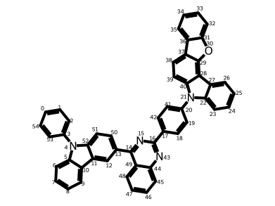 c1ccc(-n2c3ccccc3c3cc(-c4nc(-c5ccc(-n6c7ccccc7c7c8oc9ccccc9c8ccc76)cc5)nc5ccccc45)ccc32)cc1